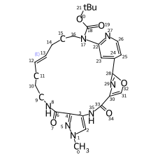 Cn1cc2c(n1)C(=O)NCCC/C=C/CCCN(C(=O)OC(C)(C)C)c1cc(ccn1)-c1nc(co1)C(=O)N2